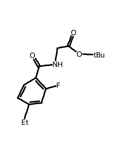 CCc1ccc(C(=O)NCC(=O)OC(C)(C)C)c(F)c1